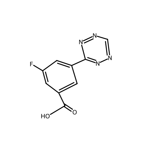 O=C(O)c1cc(F)cc(-c2nncnn2)c1